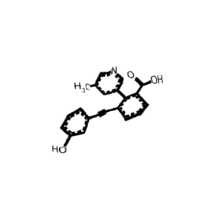 Cc1cncc(-c2c(C#Cc3cccc(O)c3)cccc2C(=O)O)c1